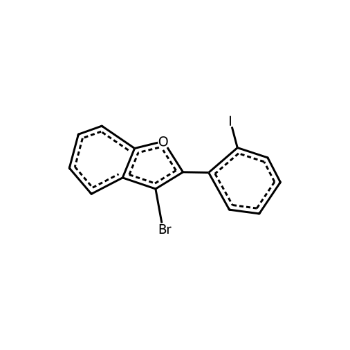 Brc1c(-c2ccccc2I)oc2ccccc12